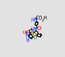 O=C(O)Nc1ccc(C(=O)N[C@@H](Cc2ccccc2)C(=O)N2CCCC3(C2)OC(=O)Nc2ccc(Cl)c(F)c23)cc1